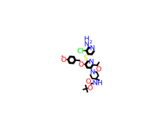 COc1ccc(COc2cc(N3CCC(C)(NC(=O)OC(C)(C)C)CC3)c(C(C)=O)nc2Sc2ccnc(N)c2Cl)cc1